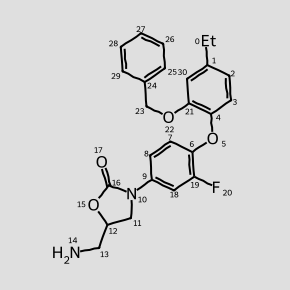 CCc1ccc(Oc2ccc(N3CC(CN)OC3=O)cc2F)c(OCc2ccccc2)c1